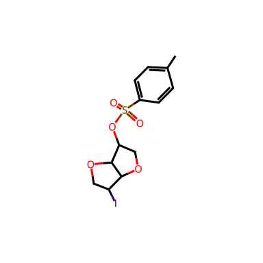 Cc1ccc(S(=O)(=O)OC2COC3C(I)COC23)cc1